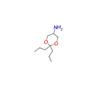 CCCC1(CCC)OCC(N)CO1